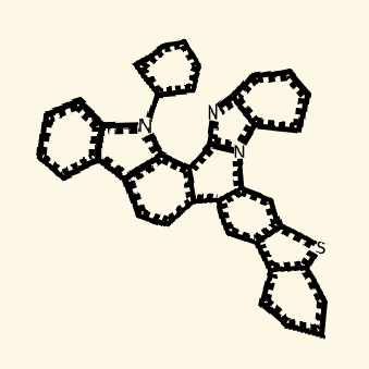 c1ccc(-n2c3ccccc3c3ccc4c5cc6c(cc5n5c7ccccc7nc5c4c32)sc2ccccc26)cc1